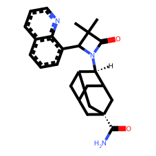 CC1(C)C(=O)N([C@H]2C3CC4CC2C[C@](C(N)=O)(C4)C3)C1c1cccc2cccnc12